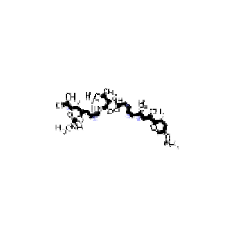 CNC(=O)OC(C/C=C\NC(=O)C(NC(=O)\C=C/C=C\C(C)=C\C(C)C1CC=C(OC)CO1)C(C)C)C/C=C(\C)Cl